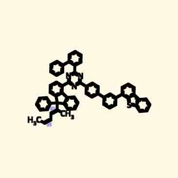 C/C=C\C=C(/C)C1(c2ccccc2)c2ccccc2-c2c(-c3nc(-c4ccc(-c5cccc(-c6cccc7c6sc6ccccc67)c5)cc4)nc(-c4ccccc4-c4ccccc4)n3)cccc21